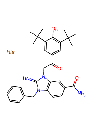 Br.CC(C)(C)c1cc(C(=O)Cn2c(=N)n(Cc3ccccc3)c3ccc(C(N)=O)cc32)cc(C(C)(C)C)c1O